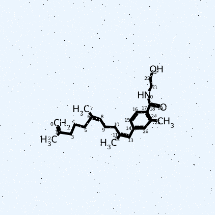 C=C(C)CCCC(C)=CCCC(C)=Cc1ccc(C(=O)NCCO)c(C)c1